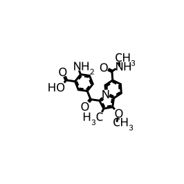 CNC(=O)c1ccc2c(OC)c(C)c(C(=O)c3ccc(N)c(C(=O)O)c3)n2c1